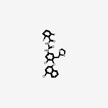 O=C(NC(=O)c1c(F)cccc1F)Nc1cc(Cl)c(Oc2ccc(Cl)c3ccccc23)c(CC2SCCS2)c1